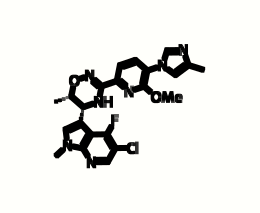 COc1nc(C2=NO[C@@H](C)[C@@H](c3cn(C)c4ncc(Cl)c(F)c34)N2)ccc1-n1cnc(C)c1